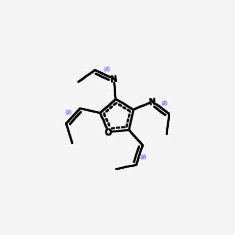 C/C=C\c1oc(/C=C\C)c(/N=C\C)c1/N=C\C